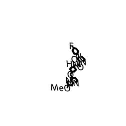 COc1cnc2c(Oc3ccc(NC(=O)c4nccn(-c5ccc(F)cc5)c4=O)cc3)ccnc2c1